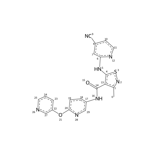 Cc1nsc(Nc2cc(C#N)ccn2)c1C(=O)Nc1ccc(Oc2cccnc2)nc1